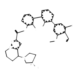 COc1cc(-c2cccc(-c3cccc(OC(=O)c4cc5n(n4)CCCC5N4CC[C@@H](O)C4)c3Cl)c2Cl)cc(F)c1C=O